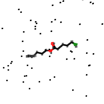 CCCCCCCCCCOC(=O)CCCCBr